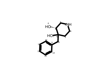 O[C@@H]1CNCCC1(O)Cc1ccccc1